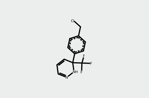 FC(F)(F)C1(c2ccc(CCl)cc2)C=CC=NN1